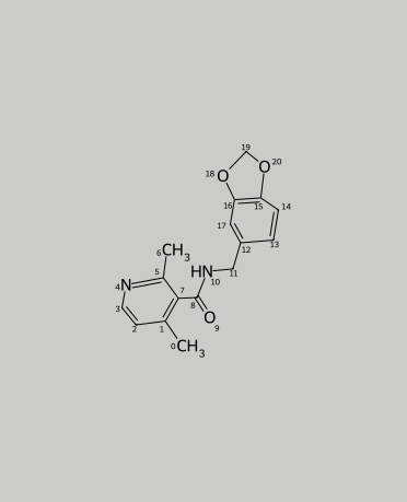 Cc1ccnc(C)c1C(=O)NCc1ccc2c(c1)OCO2